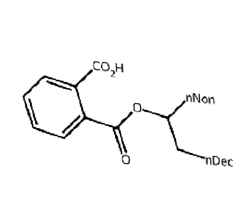 CCCCCCCCCCCC(CCCCCCCCC)OC(=O)c1ccccc1C(=O)O